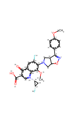 COc1ccc(C2=NOC3CN(c4c(F)cc5c(=O)c(C(=O)O)cn([C@@H]6C[C@@H]6F)c5c4OC)CC23)cc1